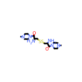 CN1CCN(C(=O)C(N)CSSC[C@H](N)C(=O)N2CCN(C)CC2)CC1